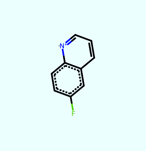 Fc1ccc2c(c1)C=CC=[N+]2